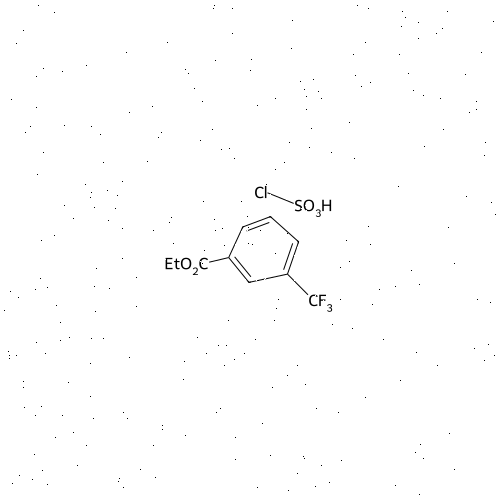 CCOC(=O)c1cccc(C(F)(F)F)c1.O=S(=O)(O)Cl